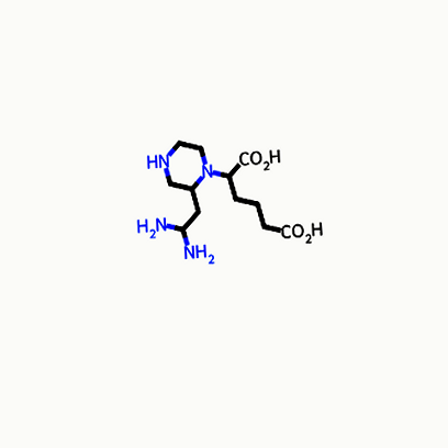 NC(N)CC1CNCCN1C(CCCC(=O)O)C(=O)O